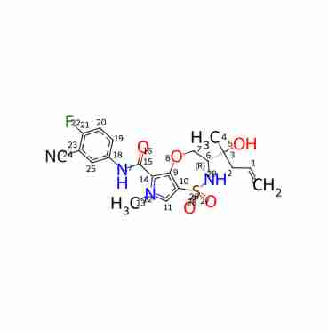 C=CCC(C)(O)[C@H]1COc2c(cn(C)c2C(=O)Nc2ccc(F)c(C#N)c2)S(=O)(=O)N1